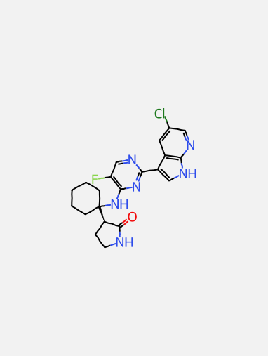 O=C1NCC[C@H]1C1(Nc2nc(-c3c[nH]c4ncc(Cl)cc34)ncc2F)CCCCC1